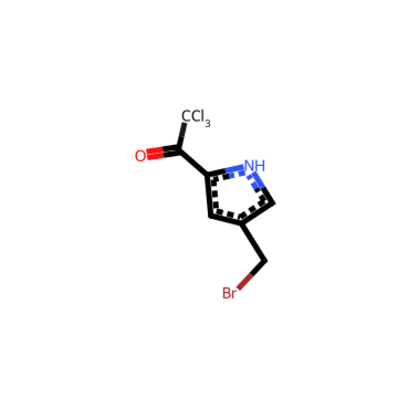 O=C(c1cc(CBr)c[nH]1)C(Cl)(Cl)Cl